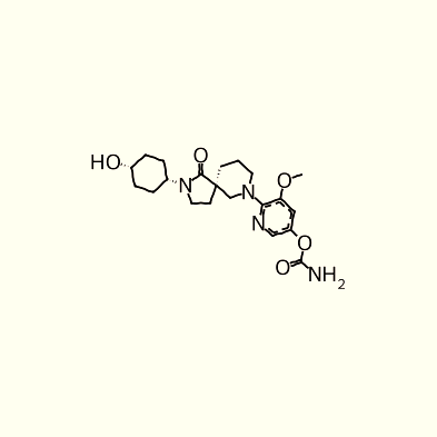 COc1cc(OC(N)=O)cnc1N1CCC[C@@]2(CCN([C@H]3CC[C@@H](O)CC3)C2=O)C1